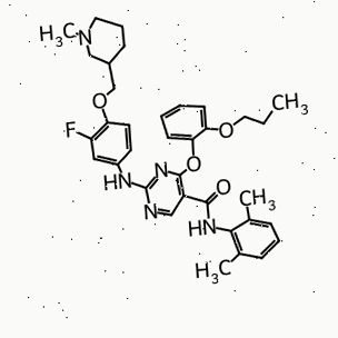 CCCOc1ccccc1Oc1nc(Nc2ccc(OCC3CCCN(C)C3)c(F)c2)ncc1C(=O)Nc1c(C)cccc1C